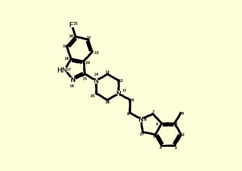 Cc1cccc2c1CN(CCN1CCN(c3n[nH]c4cc(F)ccc34)CC1)C2